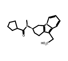 CN(C(=O)C1CCCC1)[C@@H]1CCc2c(CC(=O)O)c3ccccn3c2C1